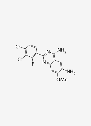 COc1cc2nc(-c3ccc(Cl)c(Cl)c3F)nc(N)c2cc1N